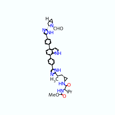 COC(=O)NC(C(=O)NC1C[C@@H]1C[C@H](C)c1ncc(-c2ccc(-c3ccc(-c4ccc(-c5cnc([C@@H]6C[C@H]7CC7N6C=O)[nH]5)cc4)c4cc[nH]c34)cc2)[nH]1)C(C)C